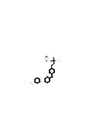 NC(CO)(CCc1ccc2c(=O)c3ccc(Oc4cccc(OC(F)(F)F)c4)cc3oc2c1)COP(=O)(O)O